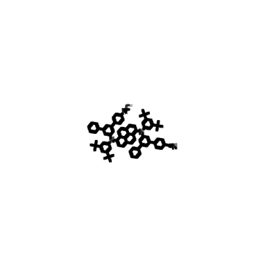 [C-]#[N+]c1ccc(-c2cc(-c3ccccc3)cc(N(c3cc(C(C)(C)C)cc(C(C)(C)C)c3)c3ccc4ccc5c(N(c6cc(-c7ccccc7)cc(-c7ccc(C#N)cc7)c6)c6cc(C(C)(C)C)cc(C(C)(C)C)c6)ccc6ccc3c4c65)c2)cc1